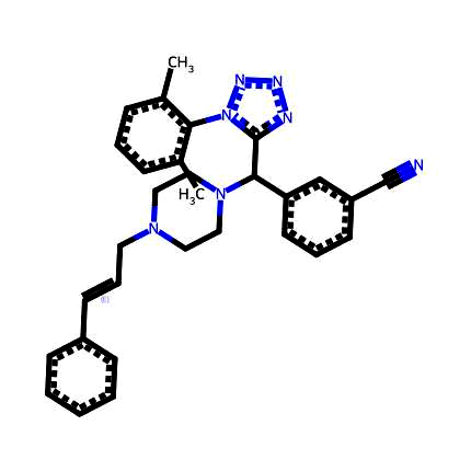 Cc1cccc(C)c1-n1nnnc1C(c1cccc(C#N)c1)N1CCN(C/C=C/c2ccccc2)CC1